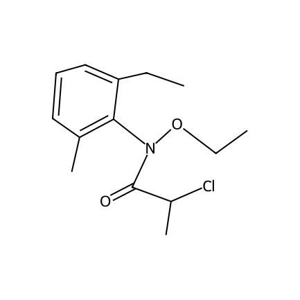 CCON(C(=O)C(C)Cl)c1c(C)cccc1CC